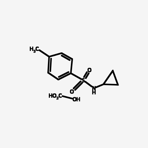 Cc1ccc(S(=O)(=O)NC2CC2)cc1.O=C(O)O